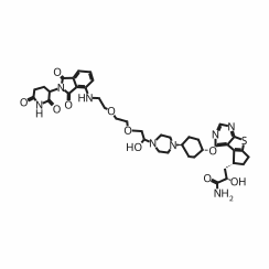 NC(=O)[C@@H](O)C[C@H]1CCc2sc3ncnc(O[C@H]4CC[C@H](N5CCN(C(O)COCCOCCNc6cccc7c6C(=O)N(C6CCC(=O)NC6=O)C7=O)CC5)CC4)c3c21